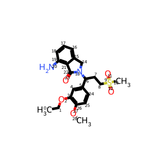 CCOc1cc(C(CCS(C)(=O)=O)N2Cc3cccc(N)c3C2=O)ccc1OC